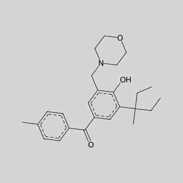 CCC(C)(CC)c1cc(C(=O)c2ccc(C)cc2)cc(CN2CCOCC2)c1O